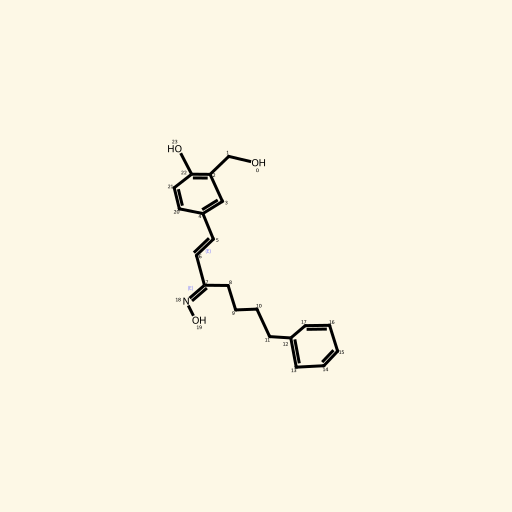 OCc1cc(/C=C/C(CCCCc2ccccc2)=N/O)ccc1O